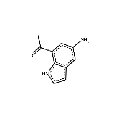 CC(=O)c1cc(N)cc2cc[nH]c12